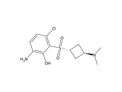 CN(C)[C@H]1C[C@H](S(=O)(=O)c2c(Cl)ccc(N)c2O)C1